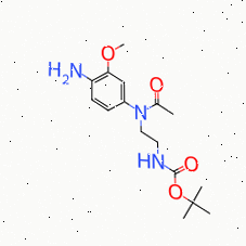 COc1cc(N(CCNC(=O)OC(C)(C)C)C(C)=O)ccc1N